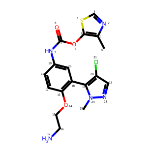 Cc1ncsc1OC(=O)Nc1ccc(OCCN)c(-c2c(Cl)cnn2C)c1